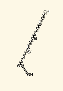 O=C(CSCCSCC[S+]([O-])CSCCSCSC(=O)CSCCSCCOOCSCSCO)OCSCSCO